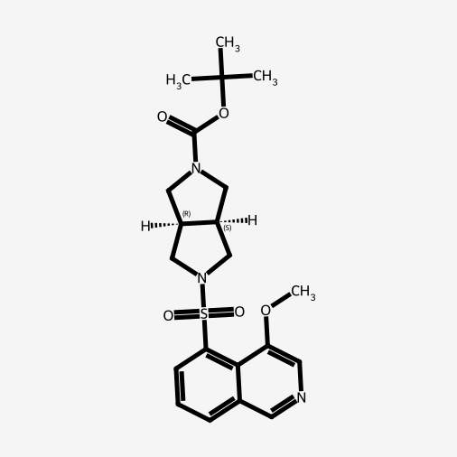 COc1cncc2cccc(S(=O)(=O)N3C[C@H]4CN(C(=O)OC(C)(C)C)C[C@H]4C3)c12